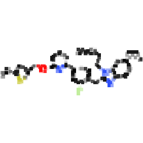 COCCn1c(Cc2ccc(-c3cccc(OCc4csc(C)c4)n3)cc2F)nc2ccc(C(=O)O)cc21